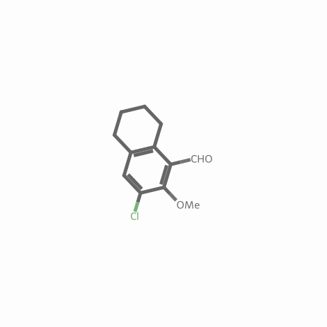 COc1c(Cl)cc2c(c1C=O)CCCC2